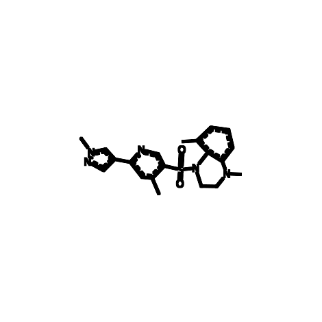 Cc1cc(-c2cnn(C)c2)ncc1S(=O)(=O)N1CCN(C)c2cccc(C)c21